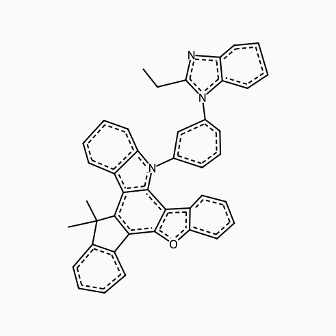 CCc1nc2ccccc2n1-c1cccc(-n2c3ccccc3c3c4c(c5oc6ccccc6c5c32)-c2ccccc2C4(C)C)c1